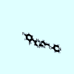 Fc1ccc(-c2cnc3nc(COc4ccncc4)cn3n2)c(F)c1